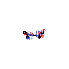 O=C(CNC(c1cccnc1)c1cc2ccccc2o1)NCCCCNc1cccc2c1C(=O)N(C1CCC(=O)NC1=O)C2=O